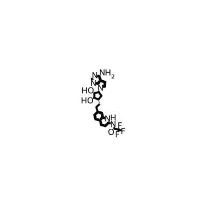 Nc1ncnc2c1ccn2[C@@H]1C[C@H](CCc2ccc3ccc(NC(=O)C(F)(F)F)nc3c2)[C@@H](O)[C@H]1O